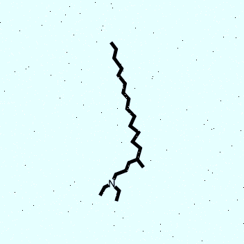 CCCCCCCCCCCCCCC(C)CCCN(CC)CC